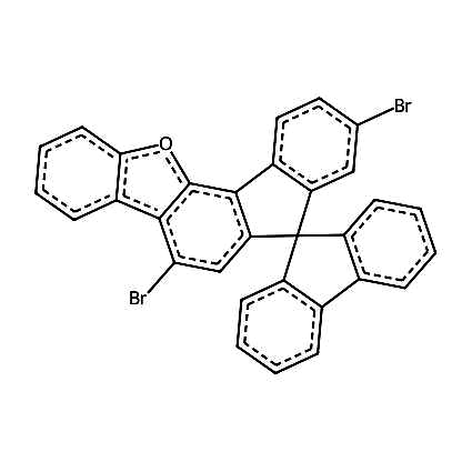 Brc1ccc2c(c1)C1(c3ccccc3-c3ccccc31)c1cc(Br)c3c(oc4ccccc43)c1-2